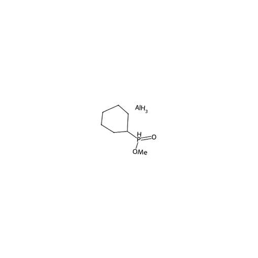 CO[PH](=O)C1CCCCC1.[AlH3]